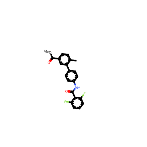 COC(=O)c1ccc(C)c(-c2ccc(NC(=O)c3c(F)cccc3F)cc2)c1